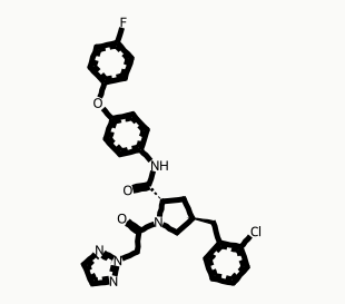 O=C(Nc1ccc(Oc2ccc(F)cc2)cc1)[C@@H]1C[C@@H](Cc2ccccc2Cl)CN1C(=O)Cn1nccn1